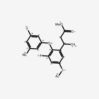 COC(=O)CC(C)c1cc(SC(C)=O)cc(F)c1Oc1cc(F)cc(C#N)c1